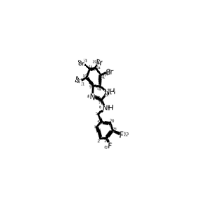 Fc1ccc(CNc2nc3c(Br)c(Br)c(Br)c(Br)c3[nH]2)cc1F